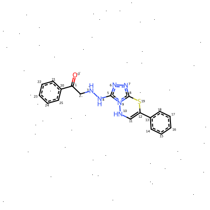 O=C(CNNc1nnc2n1NC=C(c1ccccc1)S2)c1ccccc1